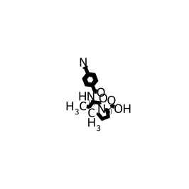 CC(C)[C@H](NC(=O)c1ccc(C#N)cc1)C(=O)N1CCC[C@H]1C(=O)O